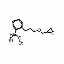 CCO[SiH](OCC)c1ccccc1CCCOCC1CO1